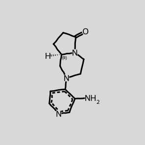 Nc1cnccc1N1CCN2C(=O)CC[C@@H]2C1